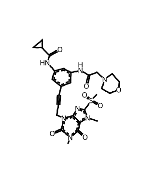 Cn1c(=O)c2c(nc(S(C)(=O)=O)n2C)n(CC#Cc2cc(NC(=O)CN3CCOCC3)cc(NC(=O)C3CC3)c2)c1=O